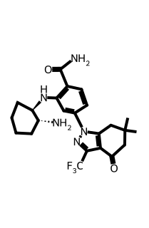 CC1(C)CC(=O)c2c(C(F)(F)F)nn(-c3ccc(C(N)=O)c(N[C@@H]4CCCC[C@H]4N)c3)c2C1